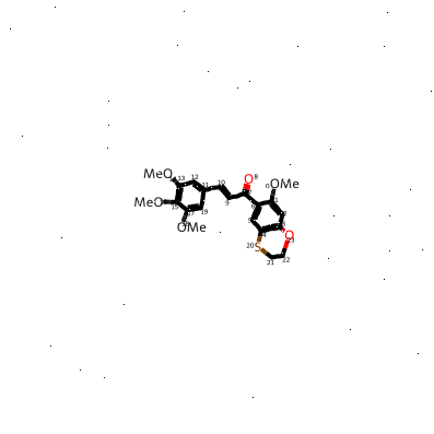 COc1cc2c(cc1C(=O)/C=C/c1cc(OC)c(OC)c(OC)c1)SCCO2